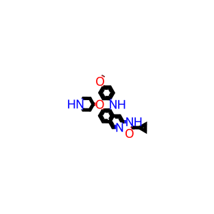 COc1ccc(Nc2c(OC3CCNCC3)ccc3cnc(NC(=O)C4CC4)cc23)cc1